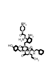 C=CCN1CC(=O)N2[C@@H](Cc3ccc(O)cc3)C(=O)N(Cc3cccc(N)c3N(N)CC(=O)N3CCN(C)CC3)C[C@@H]2N1C(=O)NCc1ccccc1